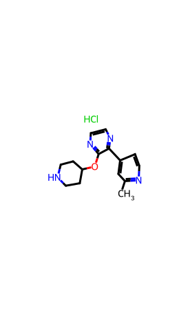 Cc1cc(-c2nccnc2OC2CCNCC2)ccn1.Cl